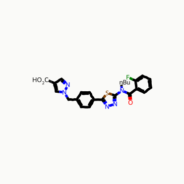 CCCCN(C(=O)c1ccccc1F)c1nnc(-c2ccc(Cn3cc(C(=O)O)cn3)cc2)s1